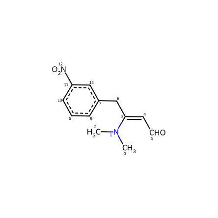 CN(C)C(=CC=O)Cc1cccc([N+](=O)[O-])c1